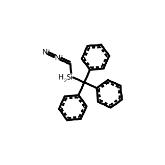 [N-]=[N+]=C[SiH2]C(c1ccccc1)(c1ccccc1)c1ccccc1